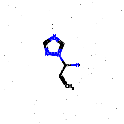 C=CC([N])n1cncn1